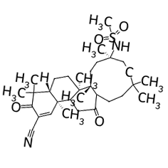 CC1(C)CCC2C(=O)CC3[C@@]4(C)C=C(C#N)C(=O)C(C)(C)[C@@H]4CC[C@@]3(C)[C@]2(C)CC[C@@](C)(NS(C)(=O)=O)CC1